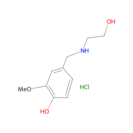 COc1cc(CNCCO)ccc1O.Cl